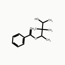 CC(O)C(C)(C)C(C)OC(=O)c1ccccc1